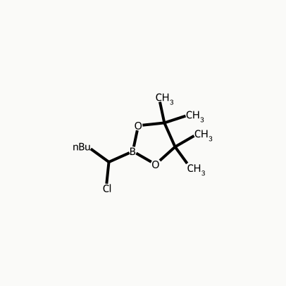 CCCCC(Cl)B1OC(C)(C)C(C)(C)O1